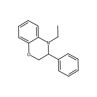 CCN1c2ccccc2OCC1c1ccccc1